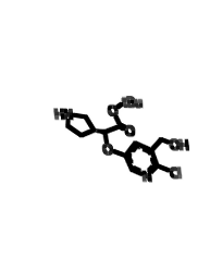 CC(C)(C)OC(=O)C(Oc1cnc(Cl)c(CO)c1)[C@H]1CCNC1